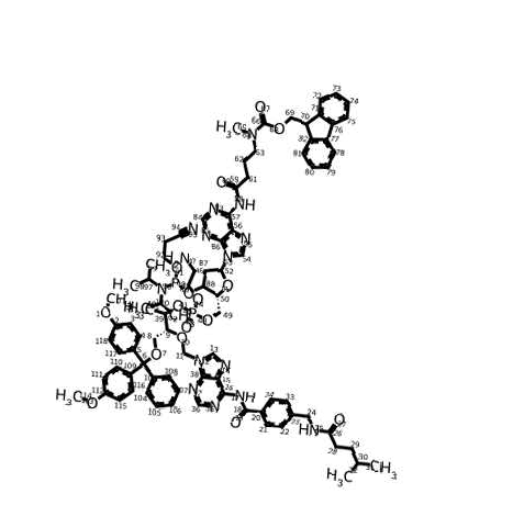 COc1ccc(C(OC[C@@H](OCn2cnc3c(NC(=O)c4ccc(CNC(=O)CCC(C)C)cc4)ncnc32)C(C)OP(=O)(OCCN)OC[C@H]2OC(n3cnc4c(NC(=O)CCCN(C)C(=O)OCC5c6ccccc6-c6ccccc65)ncnc43)CC2OP(OCCC#N)N(C(C)C)C(C)C)(c2ccccc2)c2ccc(OC)cc2)cc1